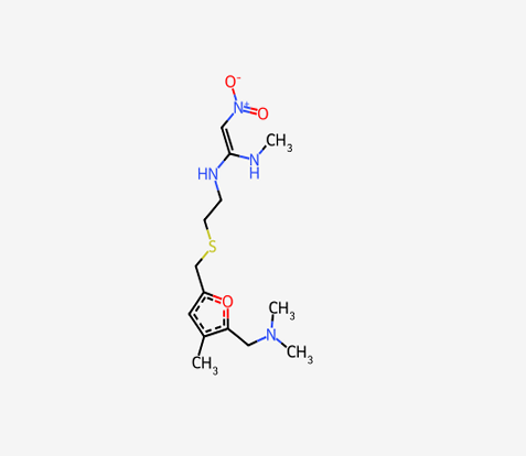 CNC(=C[N+](=O)[O-])NCCSCc1cc(C)c(CN(C)C)o1